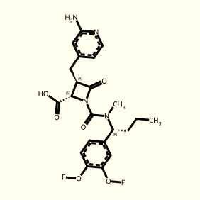 CCC[C@H](c1ccc(OF)c(OF)c1)N(C)C(=O)N1C(=O)[C@H](Cc2ccnc(N)c2)[C@H]1C(=O)O